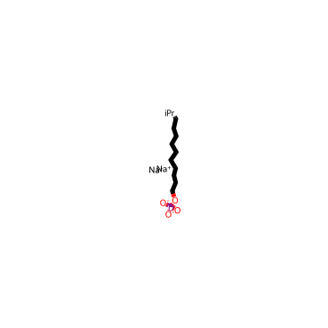 CC(C)CCCCCCCCCCOP(=O)([O-])[O-].[Na+].[Na+]